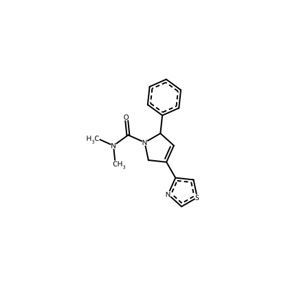 CN(C)C(=O)N1CC(c2cscn2)=CC1c1ccccc1